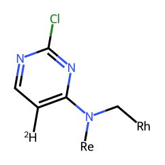 [2H]c1cnc(Cl)nc1[N]([Re])[CH2][Rh]